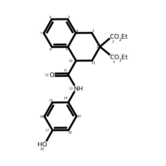 CCOC(=O)C1(C(=O)OCC)Cc2ccccc2C(C(=O)Nc2ccc(O)cc2)C1